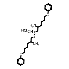 Cl.Cl.NC(CCCCOc1ccccc1)CSSCC(N)CCCCOc1ccccc1